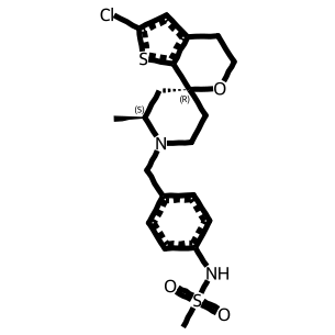 C[C@H]1C[C@@]2(CCN1Cc1ccc(NS(C)(=O)=O)cc1)OCCc1cc(Cl)sc12